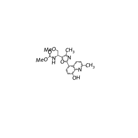 COCC(NC(=O)OC)c1oc(-c2ccc(O)c3nc(C)ccc23)nc1C